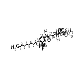 CCCCCCCCCOc1ccc(NC(=O)CCCNC(=O)OC(C)(C)C)cc1C(F)(F)F